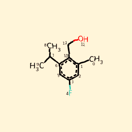 Cc1cc(F)cc(C(C)C)c1CO